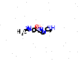 Cc1cn(-c2ccc(-c3cc4ccn([C@H]5CCNC6(CC6)C5)c4nn3)c(O)c2)nn1